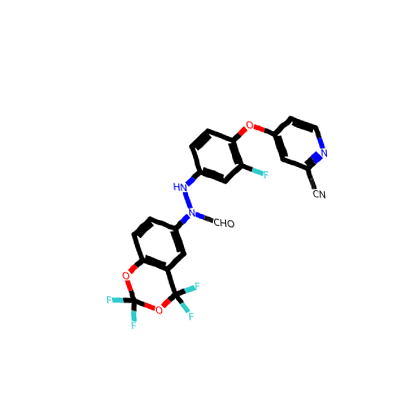 N#Cc1cc(Oc2ccc(NN(C=O)c3ccc4c(c3)C(F)(F)OC(F)(F)O4)cc2F)ccn1